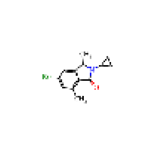 Cc1cc(Br)cc2c1C(=O)N(C1CC1)C2C